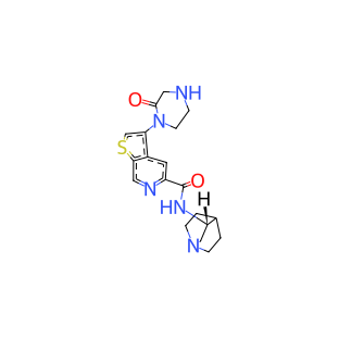 O=C(N[C@H]1CN2CCC1CC2)c1cc2c(N3CCNCC3=O)csc2cn1